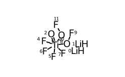 [LiH].[LiH].[O]=[Ti]([F])([F])([F])([F])([O]F)[O]F